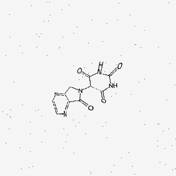 O=C1NC(=O)C(N2Cc3nccnc3C2=O)C(=O)N1